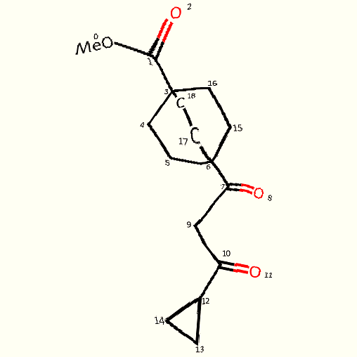 COC(=O)C12CCC(C(=O)CC(=O)C3CC3)(CC1)CC2